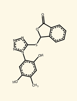 Cc1cc(O)c(-n2nnnc2SC2OC(=O)c3ccccc32)cc1O